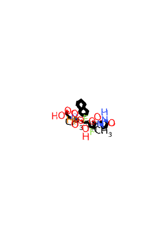 CC(C(=O)O)N(Oc1cccc2ccccc12)[P@H](=O)OC[C@@]1(F)O[C@@H](n2ccc(=O)[nH]c2=O)[C@](C)(F)[C@@H]1O